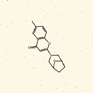 Cc1ccc2oc(N3CC4CCC(C3)O4)cc(=O)c2c1